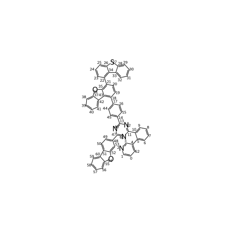 c1cncc(-c2ccccc2-c2nc(-c3ccc(-c4ccc(-c5cccc6sc7ccccc7c56)c5oc6ccccc6c45)cc3)nc(-c3ccc4c(c3)oc3ccccc34)n2)c1